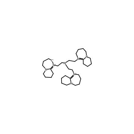 [CH-]1CCCN2CCCCC2=[N+]1CCN(CC[N+]1=C2CCCCN2CCCC1)CC[N+]1=C2CCCCN2CCCC1